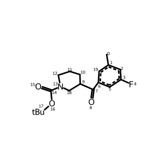 Cc1cc(F)cc(C(=O)C2CCCN(C(=O)OC(C)(C)C)C2)c1